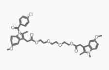 COc1ccc2c(c1)c(CC(=O)OCCOCCOCCOC(=O)Cc1c(C)n(C(=O)c3ccc(Cl)cc3)c3ccc(OC)cc13)c(C)n2C